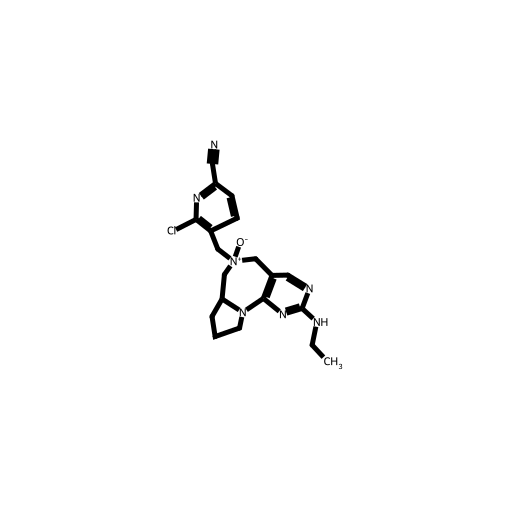 CCNc1ncc2c(n1)N1CCCC1C[N+]([O-])(Cc1ccc(C#N)nc1Cl)C2